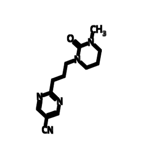 CN1CCCN(CCCc2ncc(C#N)cn2)C1=O